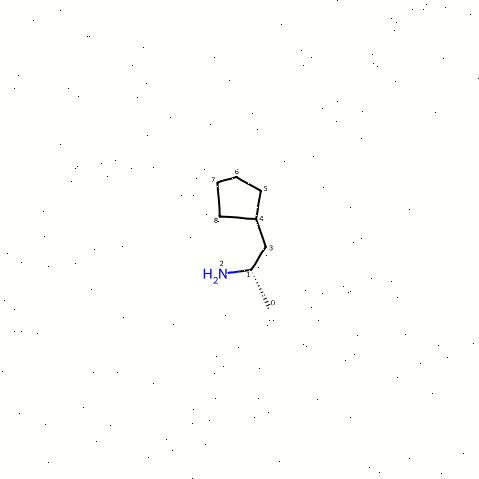 [CH2][C@H](N)CC1CCCC1